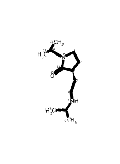 CC(C)NCC[C@@H]1CCN(C(C)C)C1=O